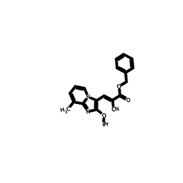 Cc1cccn2c(C=C(C#N)C(=O)OCc3ccccc3)c(OC(C)C)nc12